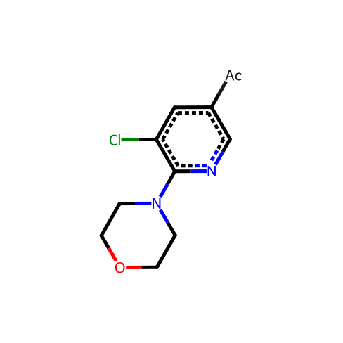 CC(=O)c1cnc(N2CCOCC2)c(Cl)c1